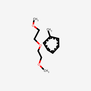 COCCOCCOC.Cc1ccccc1